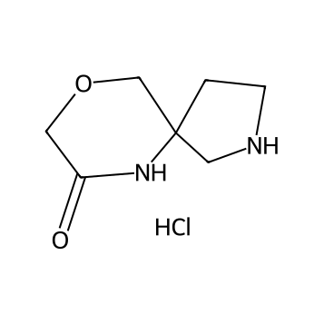 Cl.O=C1COCC2(CCNC2)N1